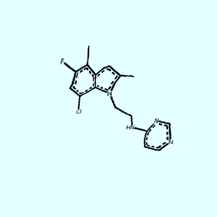 Cc1c(F)cc(Cl)c2c1cc(C)n2CCNc1ccncn1